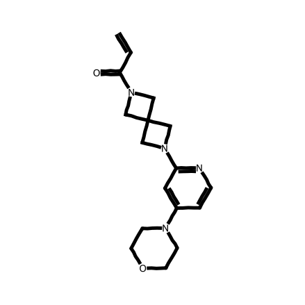 C=CC(=O)N1CC2(C1)CN(c1cc(N3CCOCC3)ccn1)C2